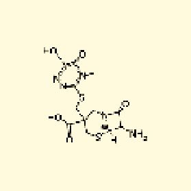 Cn1c(SCC2(C(=O)O)CS[C@@H]3C(N)C(=O)N3C2)nnc(O)c1=O